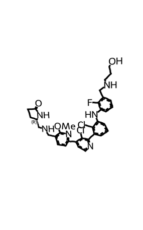 COc1nc(-c2ccnc(-c3cccc(Nc4cccc(CNCCCO)c4F)c3Cl)c2Cl)ccc1CNC[C@H]1CCC(=O)N1